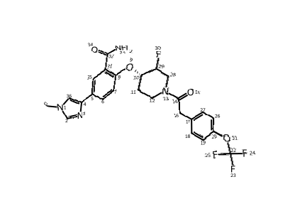 Cn1cnc(-c2ccc(O[C@H]3CCN(C(=O)Cc4ccc(OC(F)(F)F)cc4)CC3F)c(C(N)=O)c2)c1